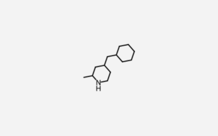 CC1CC(CC2CCCCC2)CCN1